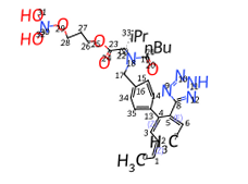 C\C=C/C=C(\C(=C/C)c1nn[nH]n1)c1ccc(CN(C(=O)CCCC)[C@H](C(=O)OCCCON(O)O)C(C)C)cc1